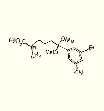 COC(CCC[C@@H](C)C(=O)O)(OC)c1cc(Br)cc(C#N)c1